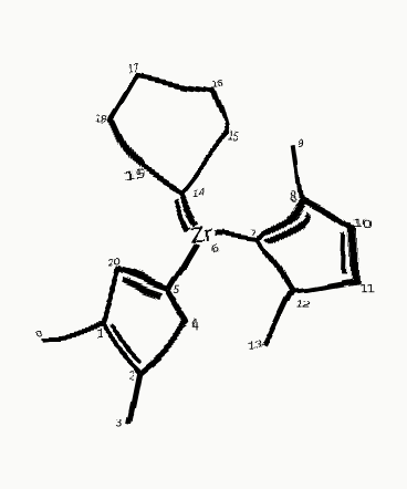 CC1=C(C)C[C]([Zr]([C]2=C(C)C=CC2C)=[C]2CCCCC2)=C1